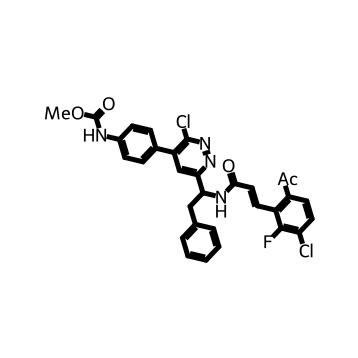 COC(=O)Nc1ccc(-c2cc(C(Cc3ccccc3)NC(=O)/C=C/c3c(C(C)=O)ccc(Cl)c3F)nnc2Cl)cc1